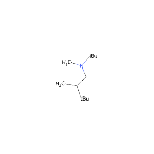 CCC(C)N(C)CC(C)C(C)(C)C